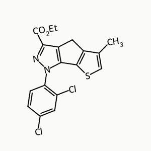 CCOC(=O)c1nn(-c2ccc(Cl)cc2Cl)c2c1Cc1c(C)csc1-2